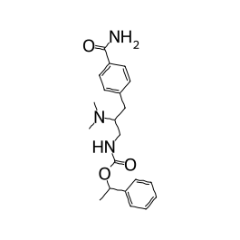 CC(OC(=O)NCC(Cc1ccc(C(N)=O)cc1)N(C)C)c1ccccc1